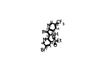 CCS(=O)(=O)c1cc(Br)cnc1-c1[nH]c2cc(C(F)(F)F)cnc2c1F